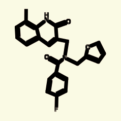 Cc1cccc2cc(CN(Cc3ccco3)C(=O)c3ccc(F)cc3)c(=O)[nH]c12